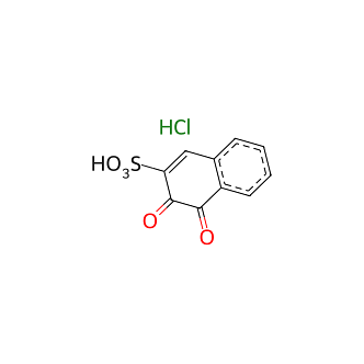 Cl.O=C1C(=O)c2ccccc2C=C1S(=O)(=O)O